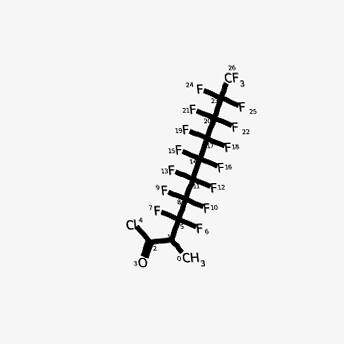 CC(C(=O)Cl)C(F)(F)C(F)(F)C(F)(F)C(F)(F)C(F)(F)C(F)(F)C(F)(F)C(F)(F)F